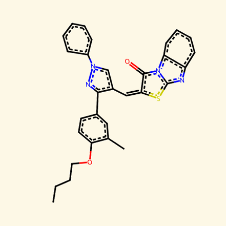 CCCCOc1ccc(-c2nn(-c3ccccc3)cc2/C=c2/sc3nc4ccccc4n3c2=O)cc1C